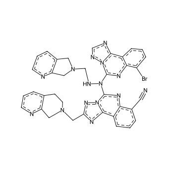 N#Cc1cccc2c1nc(N(NCN1Cc3cccnc3C1)c1nc3c(Br)cccc3c3ncnn13)n1nc(CN3CCc4cccnc4C3)nc21